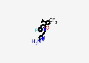 Nc1ccc(C#CCN2C(=O)C(c3ccc(C(F)(F)F)cc3C3CC3)CCc3cc(F)ccc32)nn1